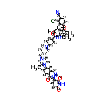 C[C@@H]1CN(CC2CCN(c3ccc(C(=O)N[C@H]4C(C)(C)[C@H](Oc5ccc(C#N)c(Cl)c5)C4(C)C)cc3)CC2)CCN1c1ccc2c(=O)n([C@H]3CCC(=O)NC3=O)ncc2c1